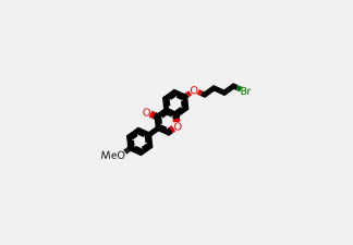 COc1ccc(-c2coc3cc(OCCCCBr)ccc3c2=O)cc1